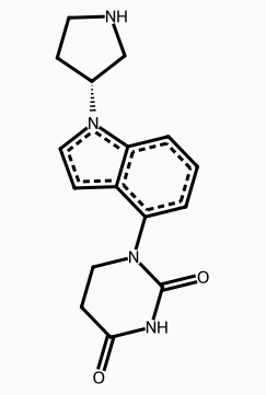 O=C1CCN(c2cccc3c2ccn3[C@@H]2CCNC2)C(=O)N1